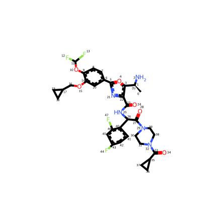 C[C@H](N)c1oc(-c2ccc(OC(F)F)c(OCC3CC3)c2)nc1C(=O)NC(C(=O)N1CCN(C(=O)C2CC2)CC1)c1ccc(F)cc1F